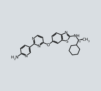 C[C@H](Nc1nc2ccc(Oc3ccnc(-c4ccc(N)nc4)n3)cc2s1)C1CCCCC1